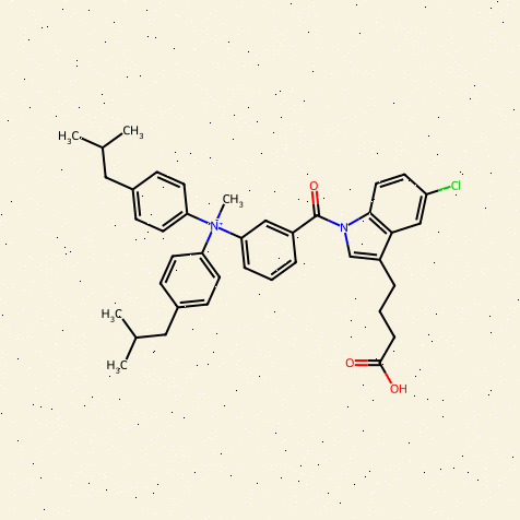 CC(C)Cc1ccc([N+](C)(c2ccc(CC(C)C)cc2)c2cccc(C(=O)n3cc(CCCC(=O)O)c4cc(Cl)ccc43)c2)cc1